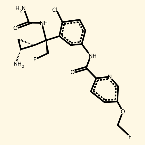 NC(=O)N[C@](CF)(c1cc(NC(=O)c2ccc(OCF)cn2)ccc1Cl)[C@H]1C[C@H]1N